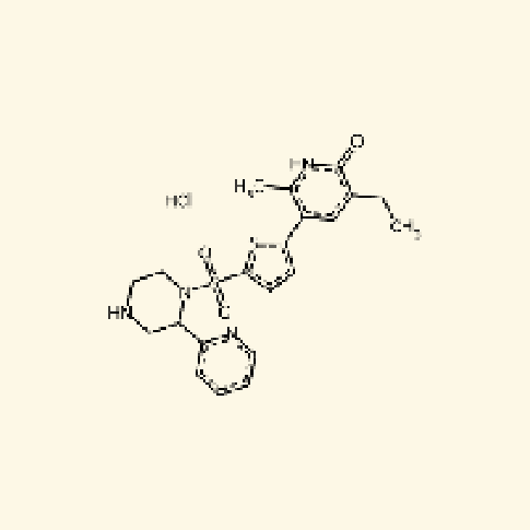 CCc1cc(-c2ccc(S(=O)(=O)N3CCNCC3c3ccccn3)s2)c(C)[nH]c1=O.Cl